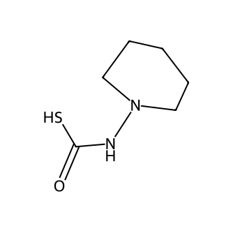 O=C(S)NN1CCCCC1